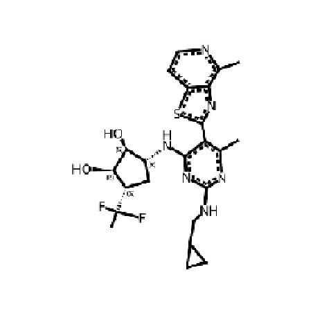 Cc1nc(NCC2CC2)nc(N[C@@H]2C[C@H](C(C)(F)F)[C@@H](O)[C@H]2O)c1-c1nc2c(C)nccc2s1